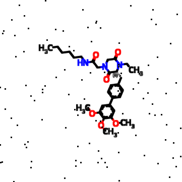 CCCCCCNC(=O)CN1CC(=O)N(CC)[C@H](Cc2ccc(-c3cc(OC)c(OC)c(OC)c3)cc2)C1=O